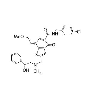 COCCn1cc(C(=O)NCc2ccc(Cl)cc2)c(=O)c2cc(CN(C)C[C@H](O)c3ccccc3)sc21